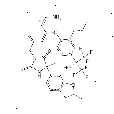 C=C(/C=C(\C=C/N)Oc1ccc(C(O)(C(F)(F)F)C(F)(F)F)cc1CCC)CN1C(=O)NC(C)(c2ccc3c(c2)OC(C)C3)C1=O